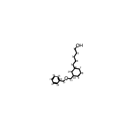 OCCCCCC1CCCC(COCc2ccccc2)C1